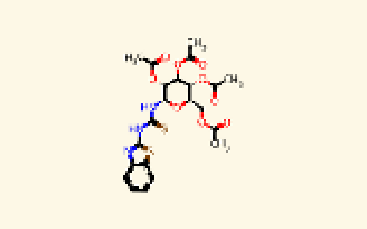 CC(=O)OC[C@H]1O[C@@H](NC(=S)Nc2nc3ccccc3s2)[C@H](OC(C)=O)[C@@H](OC(C)=O)[C@@H]1OC(C)=O